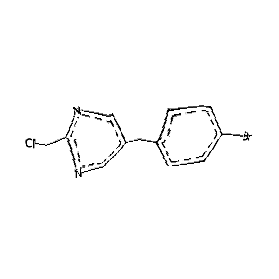 Clc1ncc(-c2ccc(Br)cc2)cn1